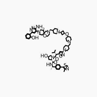 Cc1ncsc1-c1ccc([C@H](C)NC(=O)[C@@H]2C[C@@H](O)CN2C(=O)[C@@H](c2cc(N3CCC(CN4CCC(O[C@H]5C[C@H](N6CCC(CN7CCOC8(CCN(c9cc(-c%10ccccc%10O)nnc9N)CC8)C7)CC6)C5)CC4)CC3)no2)C(C)C)cc1